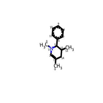 CC1=CN(C)C(c2ccccc2)C(C)C1